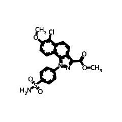 COC(=O)c1nn(-c2ccc(S(N)(=O)=O)cc2)c2c1ccc1c(Cl)c(OC)ccc12